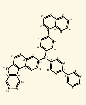 c1ccc(-c2ccc(N(c3ccc(-c4cccc5ccccc45)cc3)c3ccc4c(ccc5oc6cnccc6c54)c3)cc2)cc1